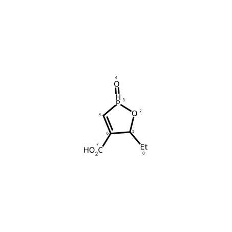 CCC1O[PH](=O)C=C1C(=O)O